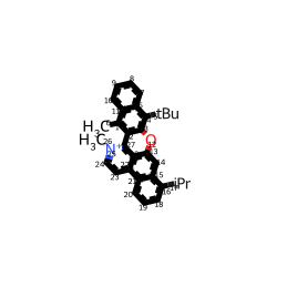 Cc1c2c(c(C(C)(C)C)c3ccccc13)Oc1cc3c(C(C)C)cccc3c3cc[n+](C)c-2c13